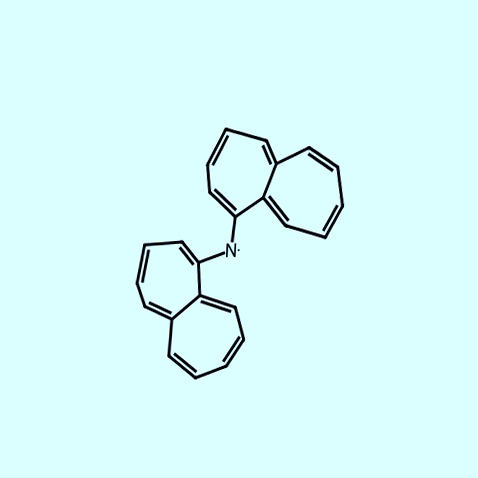 C1=CC=C2C(=CC=CC=C2[N]C2=CC=CC=C3C=CC=CC=C32)C=C1